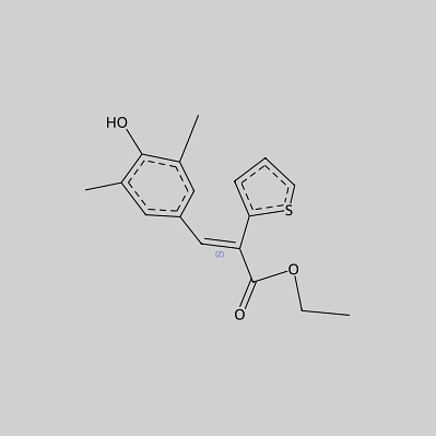 CCOC(=O)/C(=C/c1cc(C)c(O)c(C)c1)c1cccs1